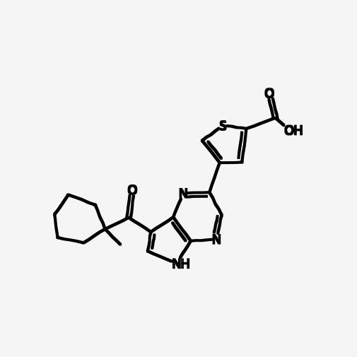 CC1(C(=O)c2c[nH]c3ncc(-c4csc(C(=O)O)c4)nc23)CCCCC1